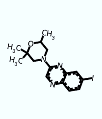 CC1CN(c2cnc3ccc(I)cc3n2)CC(C)(C)O1